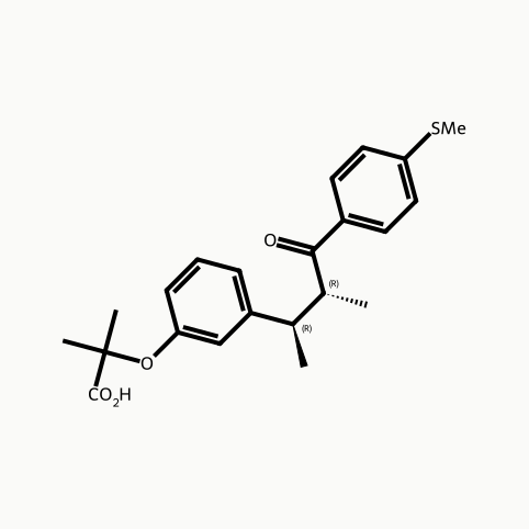 CSc1ccc(C(=O)[C@H](C)[C@@H](C)c2cccc(OC(C)(C)C(=O)O)c2)cc1